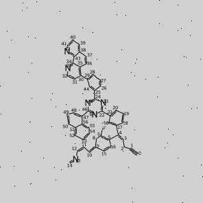 C#CC/C=C(\C1=C(C)C/C(=C\C=C/N=C)C=C1)c1cccc(-c2nc(-c3cccc(-c4ccnc5c4ccc4cccnc45)c3)nc(-c3cccc4ccccc34)n2)c1